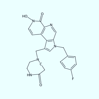 O=C1CCN(Cc2cn(Cc3ccc(F)cc3)c3cnc4c(=O)n(O)ccc4c23)CCN1